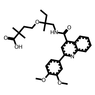 CCC(C)(CNC(=O)c1cc(-c2ccc(OC)c(OC)c2)nc2ccccc12)OCCC(C)(C)C(=O)O